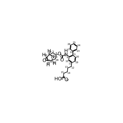 CN1[C@H]2CC(OC(=O)Nc3cc(CCCCC(=O)O)ccc3-c3ccccc3)C[C@H]1[C@H]1O[C@H]12